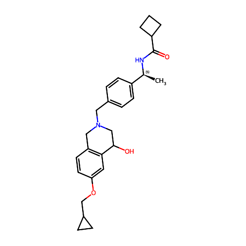 C[C@H](NC(=O)C1CCC1)c1ccc(CN2Cc3ccc(OCC4CC4)cc3C(O)C2)cc1